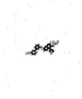 O=C(O)c1cc2cc(OCc3cccc(C4CC(O)CCO4)c3)ccc2c(-c2ccsc2)c1CO